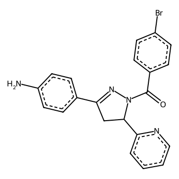 Nc1ccc(C2=NN(C(=O)c3ccc(Br)cc3)C(c3ccccn3)C2)cc1